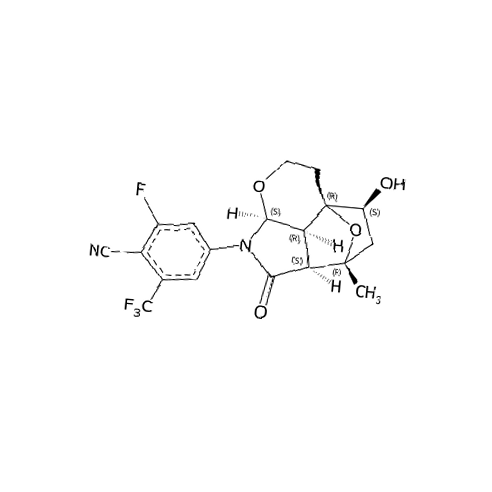 C[C@@]12C[C@H](O)[C@]3(CCO[C@H]4[C@@H]3[C@@H]1C(=O)N4c1cc(F)c(C#N)c(C(F)(F)F)c1)O2